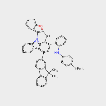 CCCCCc1ccc(Nc2ccccc2-c2cc(-c3ccc4c(c3)C(C)(C)c3ccccc3-4)c3c4ccccc4n4c3c2Bc2oc3ccccc3c2-4)cc1